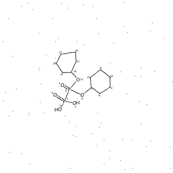 O=P(O)(O)P(=O)(OC1CCCCC1)OC1CCCCC1